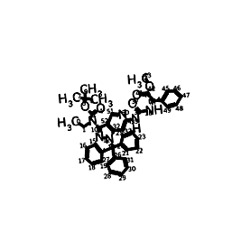 CCN(C(=O)OC(C)(C)C)c1nn(C(c2ccccc2)(c2ccccc2)c2ccccc2)c2cc(NC(=O)N[C@H](C(=O)OC)c3ccccc3)ncc12